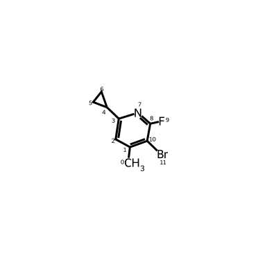 Cc1cc(C2CC2)nc(F)c1Br